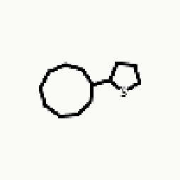 C1CCCCC(C2CCCS2)CCC1